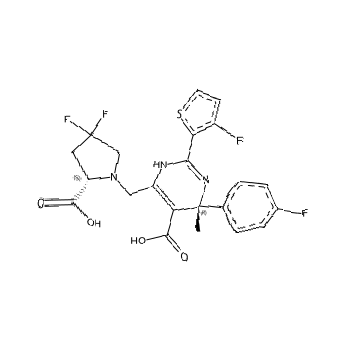 C[C@]1(c2ccc(F)cc2)N=C(c2sccc2F)NC(CN2CC(F)(F)C[C@H]2C(=O)O)=C1C(=O)O